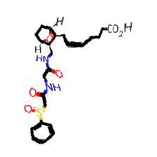 O=C(O)CCC/C=C\C[C@H]1[C@@H](CNC(=O)CNC(=O)C[S+]([O-])c2ccccc2)[C@H]2CC[C@@H]1O2